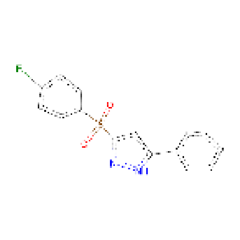 O=S(=O)(c1ccc(F)cc1)c1cc(-c2ccccc2)[nH]n1